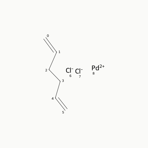 C=CCCC=C.[Cl-].[Cl-].[Pd+2]